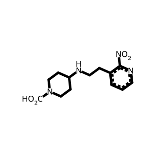 O=C(O)N1CCC(NCCc2cccnc2[N+](=O)[O-])CC1